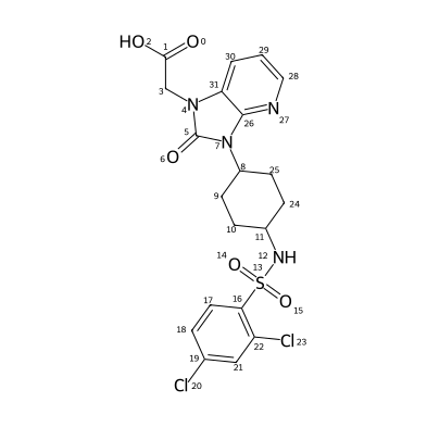 O=C(O)Cn1c(=O)n(C2CCC(NS(=O)(=O)c3ccc(Cl)cc3Cl)CC2)c2ncccc21